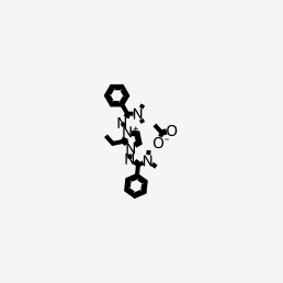 CC(=O)[O-].CCc1n(N=C(c2ccccc2)N(C)C)cc[n+]1N=C(c1ccccc1)N(C)C